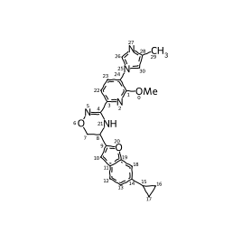 COc1nc(C2=NOCC(c3cc4ccc(C5CC5)cc4o3)N2)ccc1-n1cnc(C)c1